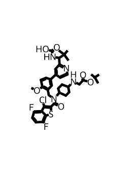 COc1ccc(-c2ccnc(C(NC(=O)O)C(C)(C)C)c2)cc1CN(C(=O)c1sc2c(F)ccc(F)c2c1Cl)C1CCC(NCC(=O)OC(C)(C)C)CC1